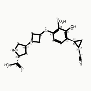 NC(=O)[C@H]1C[C@H](N2CC(Oc3ccc([C@H]4C[C@H]4B=O)c(O)c3C(=O)O)C2)CN1